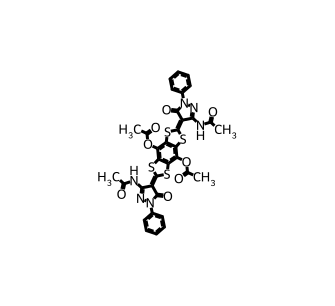 CC(=O)NC1=NN(c2ccccc2)C(=O)C1=C1Sc2c(OC(C)=O)c3c(c(OC(C)=O)c2S1)SC(=C1C(=O)N(c2ccccc2)N=C1NC(C)=O)S3